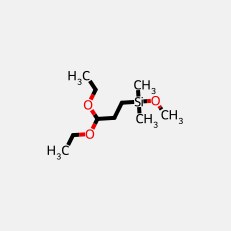 CCOC(CC[Si](C)(C)OC)OCC